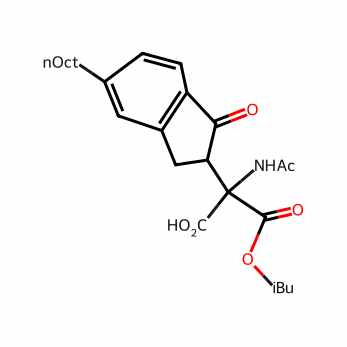 CCCCCCCCc1ccc2c(c1)CC(C(NC(C)=O)(C(=O)O)C(=O)OC(C)CC)C2=O